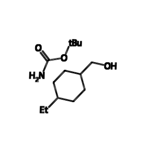 CC(C)(C)OC(N)=O.CCC1CCC(CO)CC1